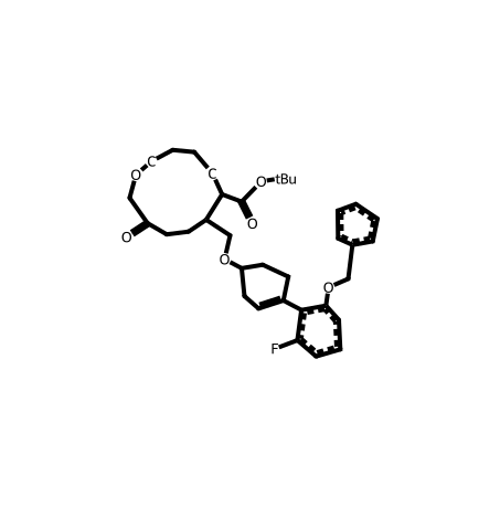 CC(C)(C)OC(=O)C1CCCCOCC(=O)CCC1COC1CC=C(c2c(F)cccc2OCc2ccccc2)CC1